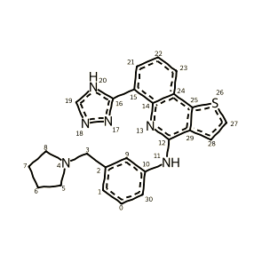 c1cc(CN2CCCC2)cc(Nc2nc3c(-c4nnc[nH]4)cccc3c3sccc23)c1